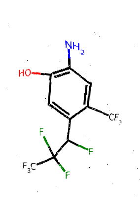 Nc1cc(C(F)(F)F)c(C(F)C(F)(F)C(F)(F)F)cc1O